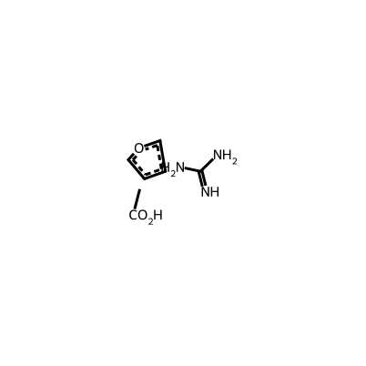 CC(=O)O.N=C(N)N.c1ccoc1